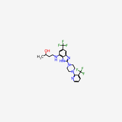 CC(O)CCNc1cc(C(F)(F)F)cc2nc(N3CCN(c4ncccc4C(F)(F)F)CC3)[nH]c12